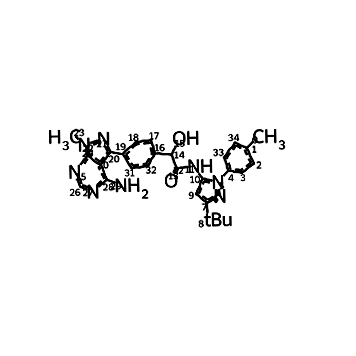 Cc1ccc(-n2nc(C(C)(C)C)cc2NC(=O)C(O)c2ccc(-c3nn(C)c4ncnc(N)c34)cc2)cc1